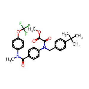 COC(=O)C(=O)N(Cc1ccc(C(C)(C)C)cc1)c1ccc(C(=O)N(C)c2ccc(OC(F)(F)F)cc2)cc1